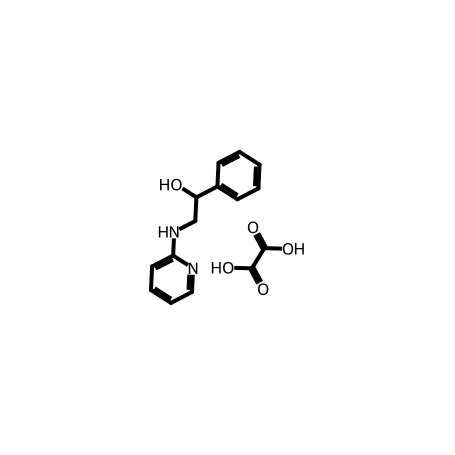 O=C(O)C(=O)O.OC(CNc1ccccn1)c1ccccc1